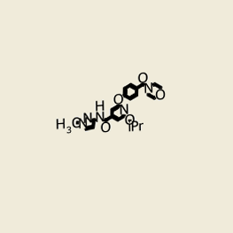 CC(C)Oc1cc(C(=O)Nc2ccn(C)n2)cc(Oc2ccc(C(=O)N3CCOCC3)cc2)n1